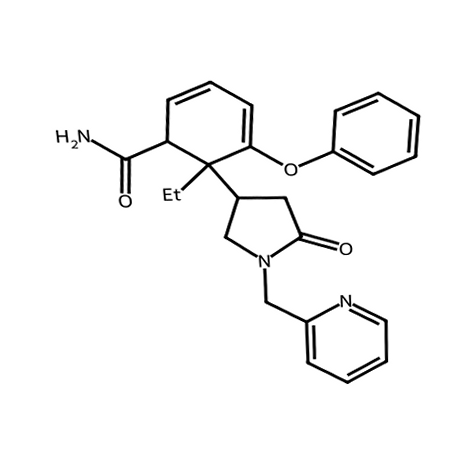 CCC1(C2CC(=O)N(Cc3ccccn3)C2)C(Oc2ccccc2)=CC=CC1C(N)=O